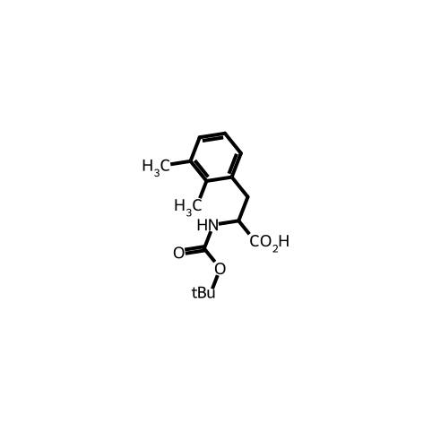 Cc1cccc(CC(NC(=O)OC(C)(C)C)C(=O)O)c1C